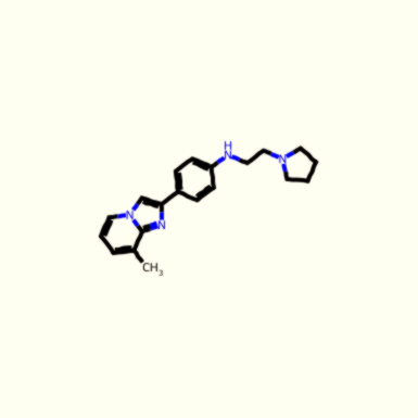 Cc1cccn2cc(-c3ccc(NCCN4CCCC4)cc3)nc12